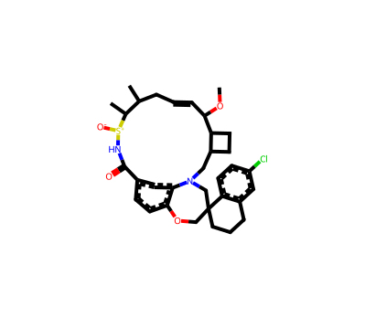 COC1/C=C/CC(C)C(C)[S+]([O-])NC(=O)c2ccc3c(c2)N(CC2CCC21)CC1(CCCc2cc(Cl)ccc21)CO3